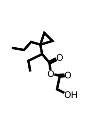 CCCC1(C(CC)C(=O)OC(=O)CO)CC1